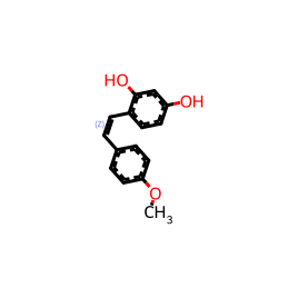 COc1ccc(/C=C\c2ccc(O)cc2O)cc1